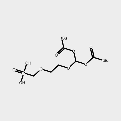 CC(C)(C)C(=O)OC(OC[CH]OCP(=O)(O)O)OC(=O)C(C)(C)C